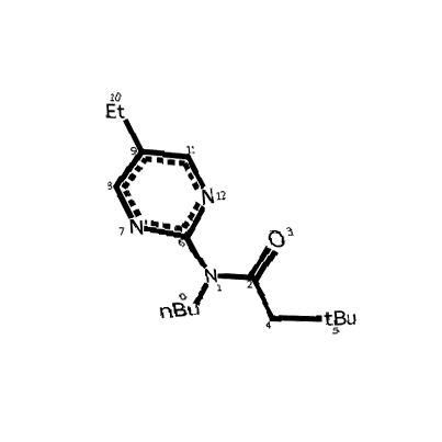 CCCCN(C(=O)CC(C)(C)C)c1ncc(CC)cn1